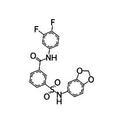 O=C(Nc1ccc(F)c(F)c1)c1cccc(S(=O)(=O)Nc2ccc3c(c2)OCO3)c1